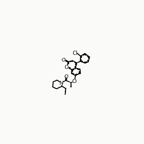 CCC1CCCCN1C(=O)C(C)Oc1ccc2c(-c3ccccc3Cl)cc(=O)oc2c1